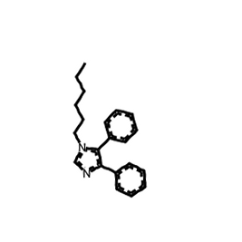 CCCCCCn1cnc(-c2ccccc2)c1-c1ccccc1